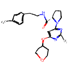 O=C(NCCc1ccc(C(F)(F)F)cc1)[C@@H]1CCCN1c1cc(OC2CCOCC2)nc(C(F)(F)F)n1